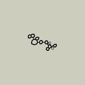 c1cccc(-c2cccc3ccccc23)c2ccccc2c(-c2ccc(-c3ccc4oc5c(c4c3)c3ccccc3c3oc4ccccc4c35)cc2)cc1